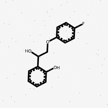 Oc1ccccc1C(O)COc1ccc(F)cc1